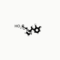 Cc1cccc(C(C)c2nccn2COC(=O)O)c1C